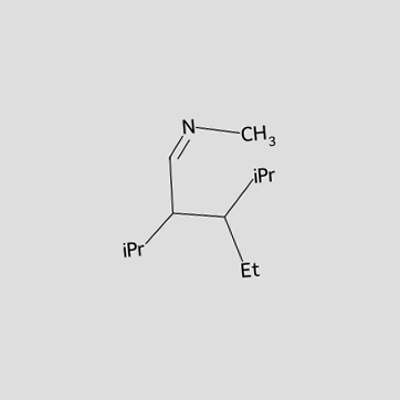 CCC(C(C)C)C(/C=N\C)C(C)C